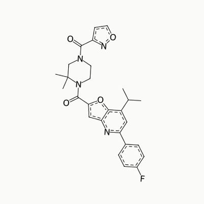 CC(C)c1cc(-c2ccc(F)cc2)nc2cc(C(=O)N3CCN(C(=O)c4ccon4)CC3(C)C)oc12